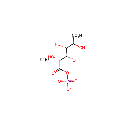 O=C(O)[C@@H](O)[C@@H](O)[C@H](O)[C@@H](O)C(=O)OP(=O)([O-])[O-].[K+].[K+]